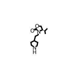 CC(C)[C@H]1COC(=O)N1CCC1CCNCC1